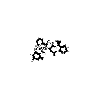 CC(C)CC(NC(=O)C1CCCCN1S(=O)(=O)N(C)c1c(F)cc(F)cc1F)C(=O)NC1(c2cccnc2)CC1